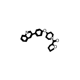 O=C(C1CCCCO1)N1CCC(Oc2ccc(-c3cnc4ccccc4c3)cc2)CC1